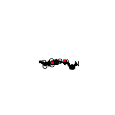 C=CCOC(=O)N1CC(S(=O)(=O)c2ccc(OC[C@H]3C[C@@H](C)N(CCc4cccc(C#N)c4)C3)cc2)C1